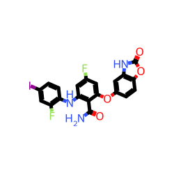 NC(=O)c1c(Nc2ccc(I)cc2F)cc(F)cc1Oc1ccc2oc(=O)[nH]c2c1